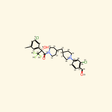 Cc1cc(Cl)cc([C@@](O)(C(=O)N2CCC(CC3CCN(c4ccc(C=O)c(Cl)c4)CC3)CC2)C(F)(F)F)c1